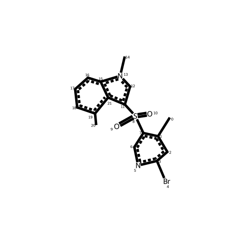 Cc1cc(Br)ncc1S(=O)(=O)c1cn(C)c2cccc(C)c12